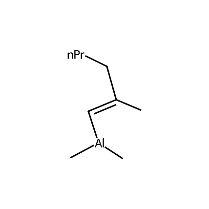 CCCCC(C)=[CH][Al]([CH3])[CH3]